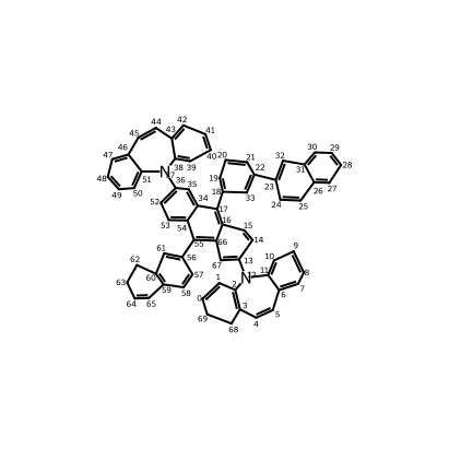 C1=CC2=C(C=Cc3ccccc3N2c2ccc3c(-c4cccc(-c5ccc6ccccc6c5)c4)c4cc(N5c6ccccc6C=Cc6ccccc65)ccc4c(-c4ccc5c(c4)CCC=C5)c3c2)CC1